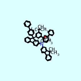 CC(C)(C)c1cc(C(C)(C)C)cc(C2(c3ccc(-c4ccccc4)cc3)c3ccccc3-c3ccc(N(c4ccc(-c5ccccc5)cc4)c4ccc5c(c4)C(C)(C)c4ccccc4-5)cc32)c1